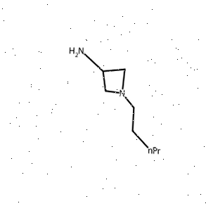 CCCCCN1CC(N)C1